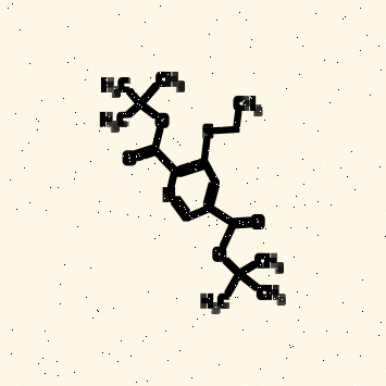 CCSc1cc(C(=O)OC(C)(C)C)cnc1C(=O)OC(C)(C)C